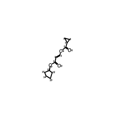 O=C(C=COC(=O)C1CC1)OC1CCCC1